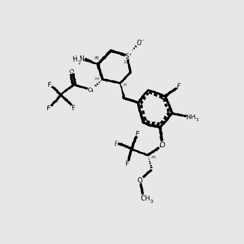 COC[C@@H](Oc1cc(C[C@@H]2C[S@@+]([O-])C[C@H](N)[C@H]2OC(=O)C(F)(F)F)cc(F)c1N)C(F)(F)F